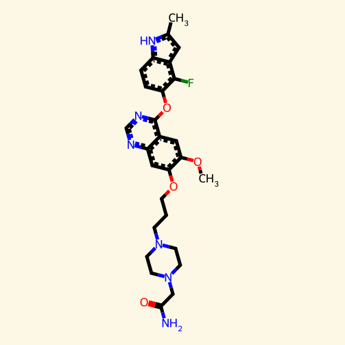 COc1cc2c(Oc3ccc4[nH]c(C)cc4c3F)ncnc2cc1OCCCN1CCN(CC(N)=O)CC1